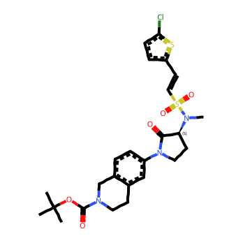 CN([C@H]1CCN(c2ccc3c(c2)CCN(C(=O)OC(C)(C)C)C3)C1=O)S(=O)(=O)C=Cc1ccc(Cl)s1